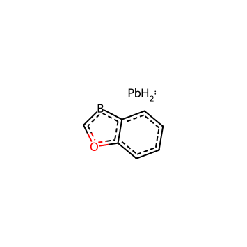 [PbH2].b1coc2ccccc12